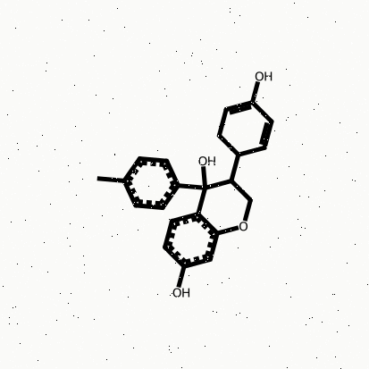 Cc1ccc(C2(O)c3ccc(O)cc3OCC2C2C=CC(O)=CC2)cc1